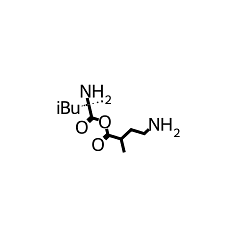 CC[C@@H](C)[C@@](C)(N)C(=O)OC(=O)C(C)CCN